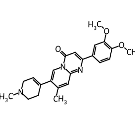 COc1ccc(-c2cc(=O)n3cc(C4=CCN(C)CC4)c(C)cc3n2)cc1OC